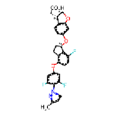 Cc1ccn(-c2c(F)cc(Oc3ccc(F)c4c3CC[C@H]4Oc3ccc4c(c3)OC[C@H]4CC(=O)O)cc2F)n1